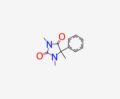 CN1C(=O)N(C)C(C)(c2ccccc2)C1=O